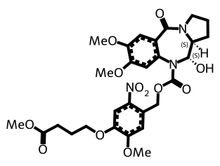 COC(=O)CCCOc1cc([N+](=O)[O-])c(COC(=O)N2c3cc(OC)c(OC)cc3C(=O)N3CCC[C@H]3[C@@H]2O)cc1OC